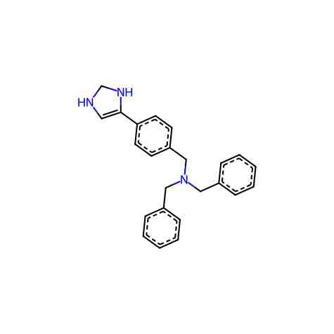 C1=C(c2ccc(CN(Cc3ccccc3)Cc3ccccc3)cc2)NCN1